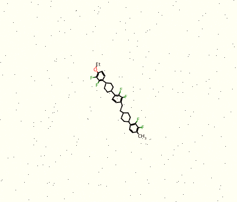 CCOc1ccc(C2CCC(c3ccc(CCC4CCC(c5ccc(C)c(F)c5F)CC4)c(F)c3F)CC2)c(F)c1F